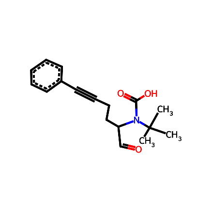 CC(C)(C)N(C(=O)O)C(C=O)CCC#Cc1ccccc1